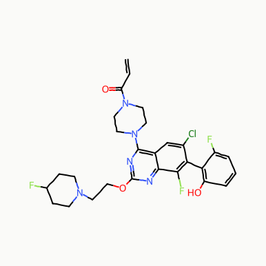 C=CC(=O)N1CCN(c2nc(OCCN3CCC(F)CC3)nc3c(F)c(-c4c(O)cccc4F)c(Cl)cc23)CC1